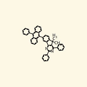 CC1(C)c2ccc(-c3c4ccccc4c(-c4ccccc4)c4ccccc34)cc2-c2nc(-c3ccccc3)nc(-c3ccccc3)c21